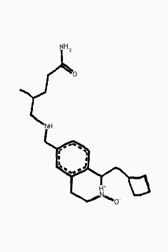 CC(CCC(N)=O)CNCc1ccc2c(c1)CC[NH+]([O-])C2CC1CCC1